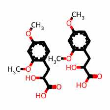 COc1ccc(CC(O)C(=O)O)c(OC)c1.COc1ccc(CC(O)C(=O)O)c(OC)c1